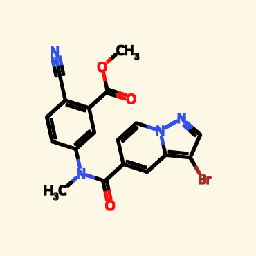 COC(=O)c1cc(N(C)C(=O)c2ccn3ncc(Br)c3c2)ccc1C#N